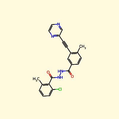 Cc1ccc(C(=O)NNC(=O)c2c(C)cccc2Cl)cc1C#Cc1cnccn1